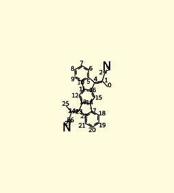 CC(C#N)=C1c2ccccc2-c2cc3c(cc21)-c1ccccc1C3=C(C)C#N